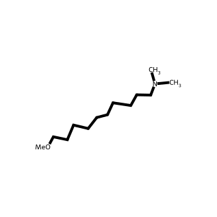 COCCCCCCCCCCN(C)C